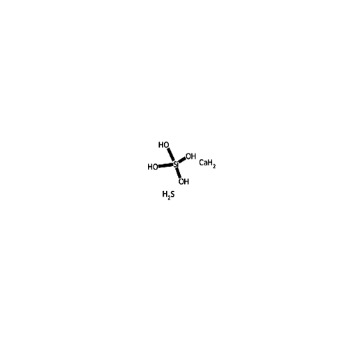 O[Si](O)(O)O.S.[CaH2]